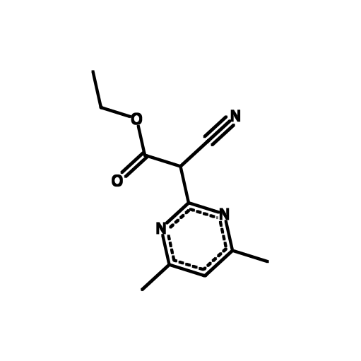 CCOC(=O)C(C#N)c1nc(C)cc(C)n1